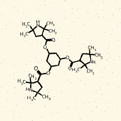 CC1(C)CC(C(=O)OC2CC(OC(=O)C3CC(C)(C)NC3(C)C)CC(OC(=O)C3CC(C)(C)NC3(C)C)C2)C(C)(C)N1